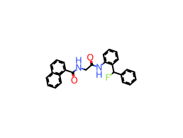 O=C(CNC(=O)c1cccc2ccccc12)Nc1ccccc1C(F)c1ccccc1